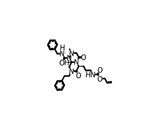 C=CCOC(=O)NCCC[C@H]1C(=O)N(CCc2ccccc2)C[C@H]2N1C(=O)CN(C)N2C(=O)NCc1ccccc1